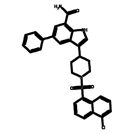 NC(=O)c1cc(-c2ccccc2)cc2c(C3CCN(S(=O)(=O)c4cccc5c(Cl)cccc45)CC3)c[nH]c12